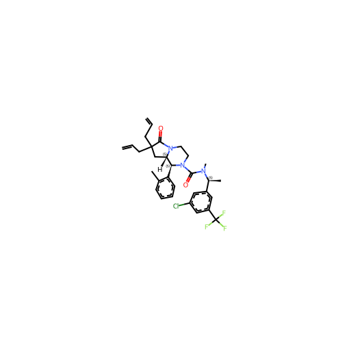 C=CCC1(CC=C)C[C@H]2[C@H](c3ccccc3C)N(C(=O)N(C)[C@@H](C)c3cc(Cl)cc(C(F)(F)F)c3)CCN2C1=O